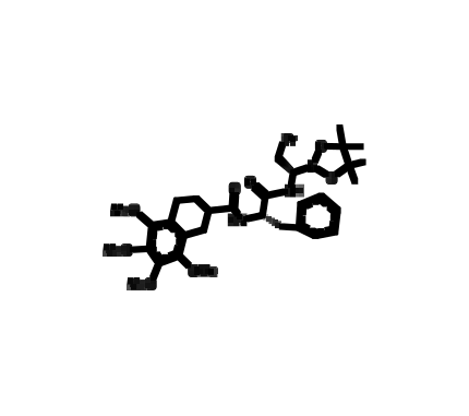 COc1c2c(c(OC)c(OC)c1OC)CC(C(=O)N[C@@H](Cc1ccccc1)C(=O)N[C@@H](CC(C)C)B1OC(C)(C)C(C)(C)O1)CC2